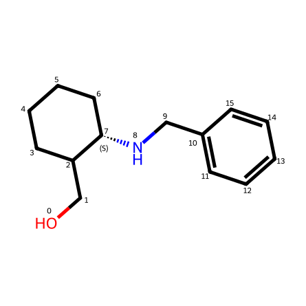 OCC1CCCC[C@@H]1NCc1ccccc1